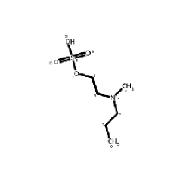 CCCN(C)CCOS(=O)(=O)O